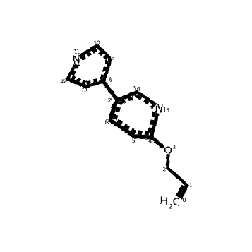 C=CCOc1ccc(-c2ccncc2)cn1